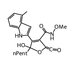 CCCCCC1(O)OC(=C=O)C(C(=O)NOC)=C1c1cc2c(C)cccc2[nH]1